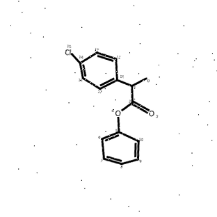 CC(C(=O)Oc1ccccc1)c1ccc(Cl)cc1